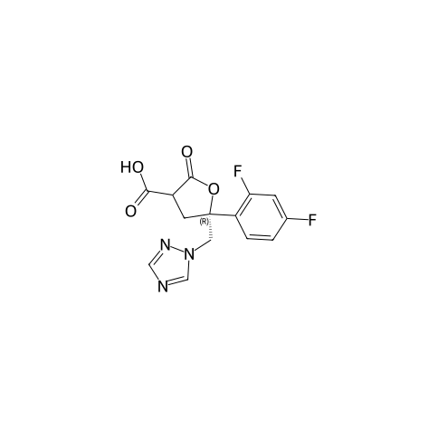 O=C(O)C1C[C@](Cn2cncn2)(c2ccc(F)cc2F)OC1=O